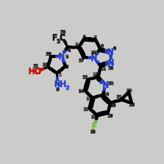 N[C@@H]1CN([C@H](c2ccc3nnc(-c4ccc5cc(F)cc(C6CC6)c5n4)n3c2)C(F)(F)F)C[C@@H]1O